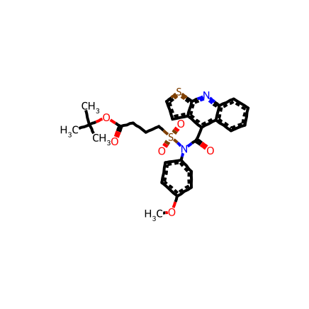 COc1ccc(N(C(=O)c2c3ccccc3nc3sccc23)S(=O)(=O)CCCC(=O)OC(C)(C)C)cc1